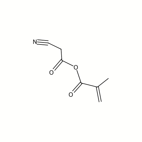 C=C(C)C(=O)OC(=O)CC#N